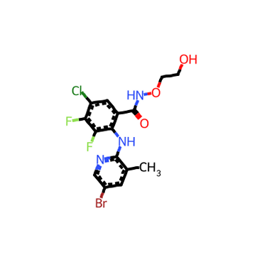 Cc1cc(Br)cnc1Nc1c(C(=O)NOCCO)cc(Cl)c(F)c1F